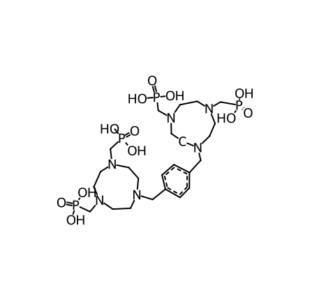 O=P(O)(O)CN1CCN(Cc2ccc(CN3CCN(CP(=O)(O)O)CCN(CP(=O)(O)O)CC3)cc2)CCN(CP(=O)(O)O)CC1